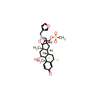 C[C@]12C=CC(=O)C=C1[C@@H](F)C[C@H]1[C@@H]3C[C@H]4CN(Cc5ccoc5)O[C@@]4(C(=O)COS(C)(=O)=O)[C@@]3(C)C[C@H](O)[C@@]12F